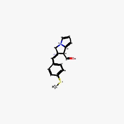 CSc1ccc(/C=C2/Cn3cccc3C2C=O)cc1